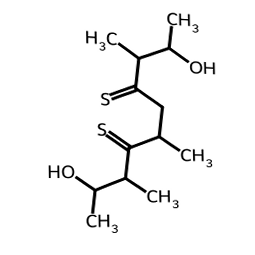 CC(CC(=S)C(C)C(C)O)C(=S)C(C)C(C)O